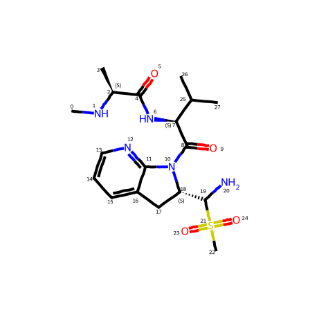 CN[C@@H](C)C(=O)N[C@H](C(=O)N1c2ncccc2C[C@H]1C(N)S(C)(=O)=O)C(C)C